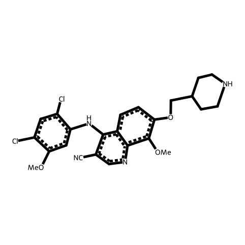 COc1cc(Nc2c(C#N)cnc3c(OC)c(OCC4CCNCC4)ccc23)c(Cl)cc1Cl